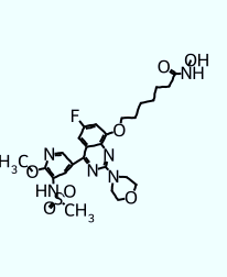 COc1ncc(-c2nc(N3CCOCC3)nc3c(OCCCCCCC(=O)NO)cc(F)cc23)cc1NS(C)(=O)=O